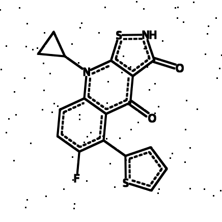 O=c1[nH]sc2c1c(=O)c1c(-c3cccs3)c(F)ccc1n2C1CC1